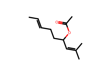 CC=CCCC(C=C(C)C)OC(C)=O